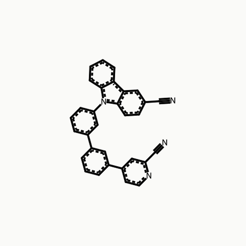 N#Cc1ccc2c(c1)c1ccccc1n2-c1cccc(-c2cccc(-c3ccnc(C#N)c3)c2)c1